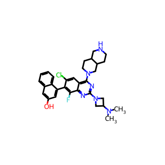 CN(C)C1CN(c2nc(N3CCC4CNCCC4C3)c3cc(Cl)c(-c4cc(O)cc5ccccc45)c(F)c3n2)C1